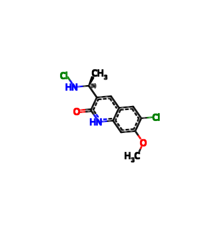 COc1cc2[nH]c(=O)c([C@H](C)NCl)cc2cc1Cl